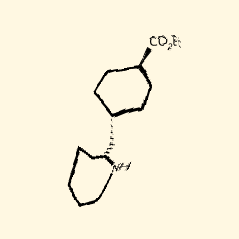 CCOC(=O)[C@H]1CC[C@H](C2CCCCN2)CC1